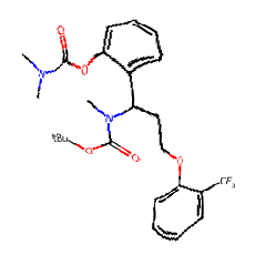 CN(C)C(=O)Oc1ccccc1C(CCOc1ccccc1C(F)(F)F)N(C)C(=O)OC(C)(C)C